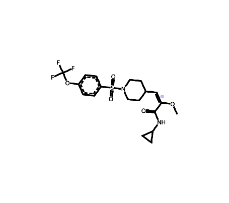 CO/C(=C/C1CCN(S(=O)(=O)c2ccc(OC(F)(F)F)cc2)CC1)C(=O)NC1CC1